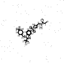 CCC(=O)NCC1CN(S(=O)(=O)c2ccc3c(c2)nc(C(C)(C)C)n3CC2CCC(F)(F)CC2)C1